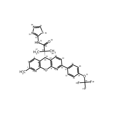 Cc1ccc2c(n1)Oc1nc(-c3ccc(OC(F)(F)F)cc3)ccc1[C@H]2C(C)(C)C(=O)Nc1nncs1